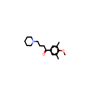 COc1c(C)cc(C(=O)CCCN2CC[CH]CC2)cc1C